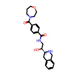 O=C(NCC(O)[C@@H]1Cc2ccccc2CN1)c1ccc(C(=O)N2CCCOCC2)cc1